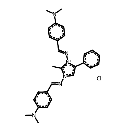 Cc1n(N=Cc2ccc(N(C)C)cc2)cc(-c2ccccc2)[n+]1N=Cc1ccc(N(C)C)cc1.[Cl-]